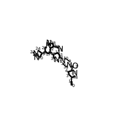 C#Cc1ccc(C(=O)N2CCN(c3ccc(-c4cc(-c5cnn(C)c5)cn5ncc(C#N)c45)cn3)CC2)nc1